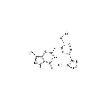 CCCc1n[nH]c2c(=O)[nH]c(Cc3cc(-c4nccn4C)ccc3OCC)nc12